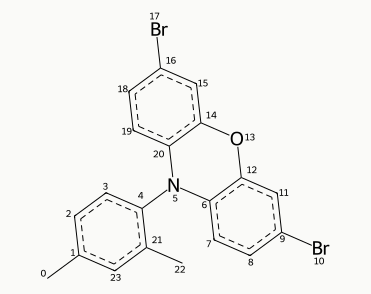 Cc1ccc(N2c3ccc(Br)cc3Oc3cc(Br)ccc32)c(C)c1